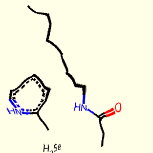 CCCCCCNC(C)=O.Cc1ccc[nH]1.[SeH2]